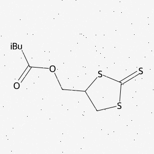 CCC(C)C(=O)OCC1CSC(=S)S1